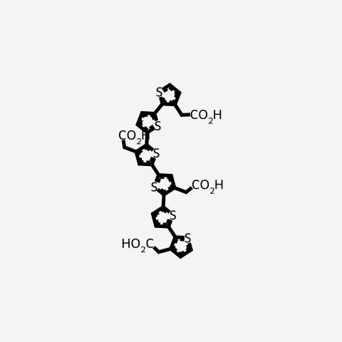 O=C(O)Cc1ccsc1-c1ccc(-c2sc(-c3cc(CC(=O)O)c(-c4ccc(-c5sccc5CC(=O)O)s4)s3)cc2CC(=O)O)s1